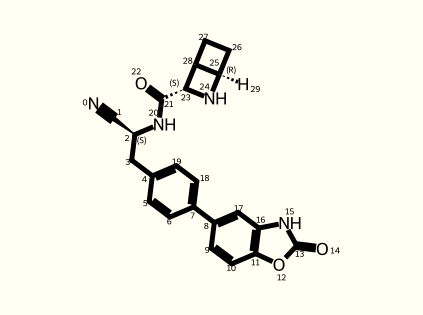 N#C[C@H](Cc1ccc(-c2ccc3oc(=O)[nH]c3c2)cc1)NC(=O)[C@H]1N[C@@H]2CCC12